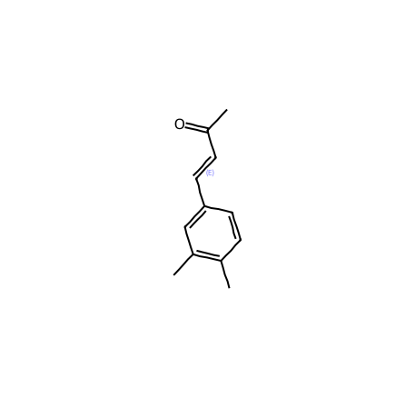 CC(=O)/C=C/c1ccc(C)c(C)c1